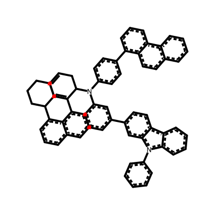 C1=CCC(N(c2ccc(-c3cccc4c3ccc3ccccc34)cc2)c2cccc(-c3ccc4c5ccccc5n(-c5ccccc5)c4c3)c2)C(c2cccc3cccc(C4CCCCC4)c23)=C1